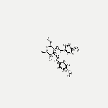 CCC(C)[C@@H](OCc1ccc(OC)cc1)C(OCc1ccc(OC)cc1)[C@H](C)CC